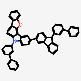 c1ccc(-c2cccc(C3c4ccccc4-c4cc(-c5ccc6c(c5)c5c7oc8ccccc8c7ccc5n6-c5cccc(-c6ccccc6)c5)ccc43)c2)cc1